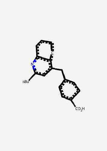 CCCCc1cc(Cc2ccc(C(=O)O)cc2)c2ccccc2n1